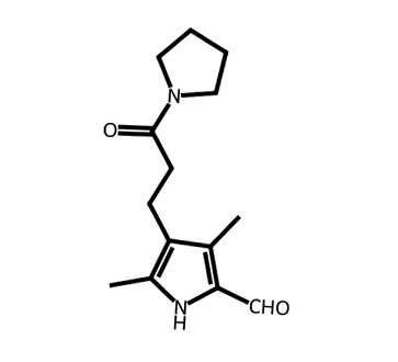 Cc1[nH]c(C=O)c(C)c1CCC(=O)N1CCCC1